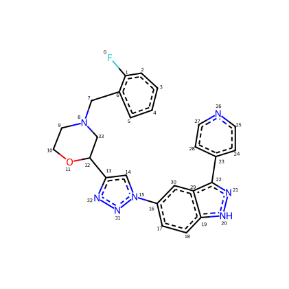 Fc1ccccc1CN1CCOC(c2cn(-c3ccc4[nH]nc(-c5ccncc5)c4c3)nn2)C1